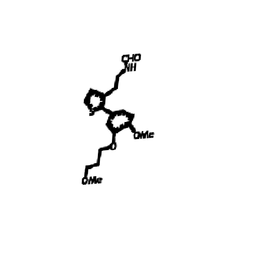 COCCCOc1cc(-c2sccc2CCNC=O)ccc1OC